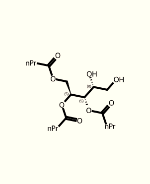 CCCC(=O)OC[C@H](OC(=O)CCC)[C@@H](OC(=O)CCC)[C@H](O)CO